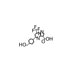 O=C(O)c1cnn2c(C(F)(F)F)cc(-c3ccc(CO)cc3)nc12